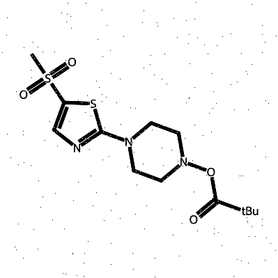 CC(C)(C)C(=O)ON1CCN(c2ncc(S(C)(=O)=O)s2)CC1